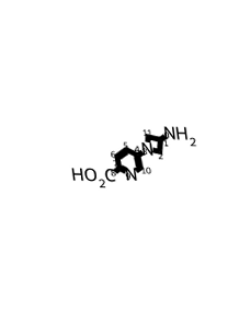 NC1CN(c2ccc(C(=O)O)nc2)C1